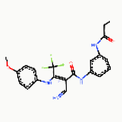 CCC(=O)Nc1cccc(NC(=O)/C(C=N)=C(/Nc2ccc(OC)cc2)C(F)(F)F)c1